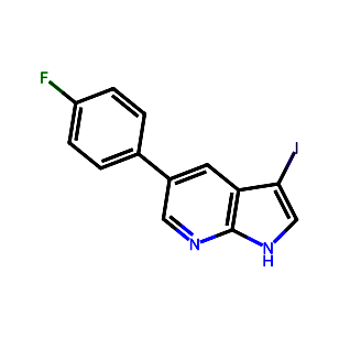 Fc1ccc(-c2cnc3[nH]cc(I)c3c2)cc1